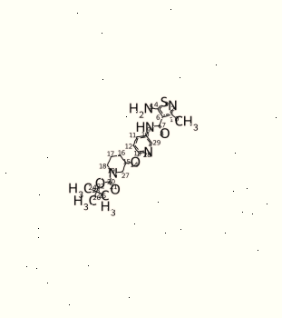 Cc1nsc(N)c1C(=O)Nc1ccc(OC2CCCN(C(=O)OC(C)(C)C)C2)nc1